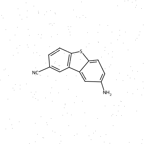 N#Cc1ccc2sc3ccc(N)cc3c2c1